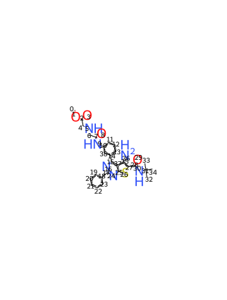 COC(=O)CNCC(=O)Nc1cccc(-c2nc(-c3ccccc3)nc3sc(C(=O)NC(C)(C)C)c(N)c23)c1